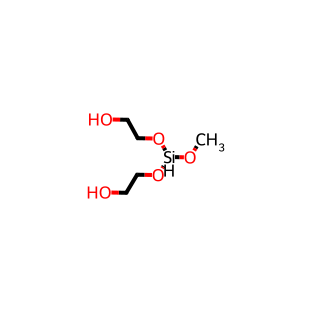 CO[SiH](OCCO)OCCO